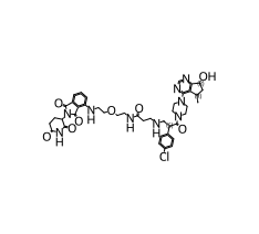 C[C@@H]1C[C@@H](O)c2ncnc(N3CCN(C(=O)[C@H](CNCCC(=O)NCCOCCNc4cccc5c4C(=O)N(C4CCC(=O)NC4=O)C5=O)c4ccc(Cl)cc4)CC3)c21